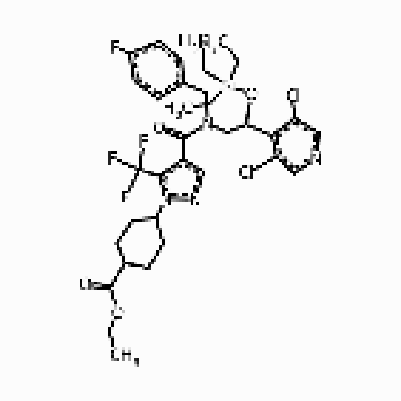 CCOC(=O)C1CCC(n2ncc(C(=O)N(Cc3ccc(F)cc3)CC(O[Si](CC)(CC)CC)c3c(Cl)cncc3Cl)c2C(F)(F)F)CC1